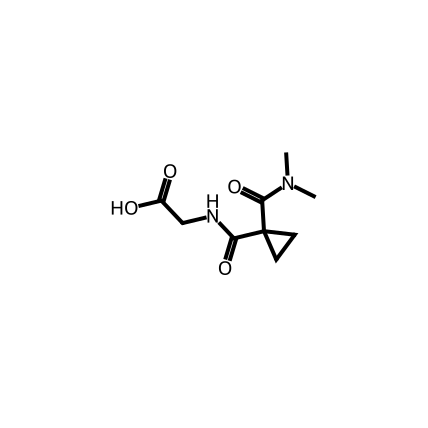 CN(C)C(=O)C1(C(=O)NCC(=O)O)CC1